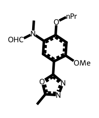 CCCOc1cc(OC)c(-c2nnc(C)o2)cc1N(C)C=O